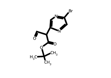 CC(C)(C)OC(=O)C(C=O)c1cnc(Br)cn1